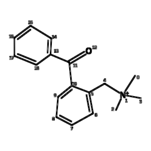 C[N+](C)(C)Cc1ccccc1C(=O)c1ccccc1